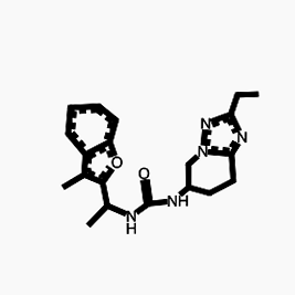 CCc1nc2n(n1)CC(NC(=O)NC(C)c1oc3ccccc3c1C)CC2